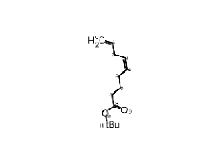 C=CC/C=C\CCCC(=O)OC(C)(C)C